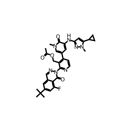 CC(=O)OCc1c(-c2cc(Nc3cc(C4CC4)n(C)n3)c(=O)n(C)c2)ccnc1-n1ncc2cc(C(C)(C)C)cc(F)c2c1=O